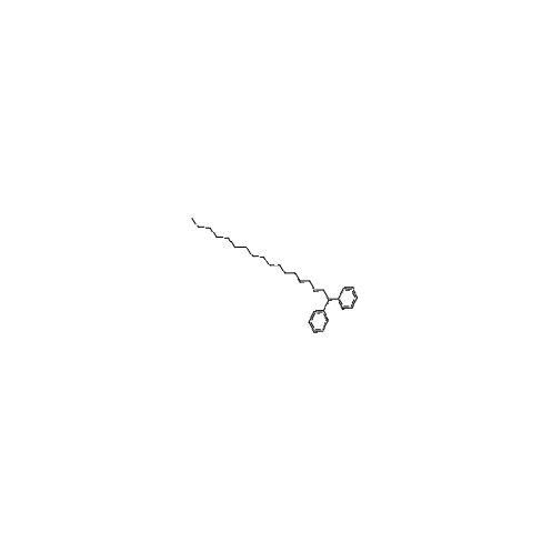 CCCCCCCCCCCCCCCCC[C](c1ccccc1)c1ccccc1